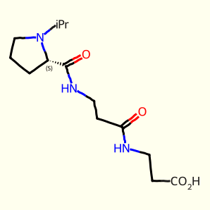 CC(C)N1CCC[C@H]1C(=O)NCCC(=O)NCCC(=O)O